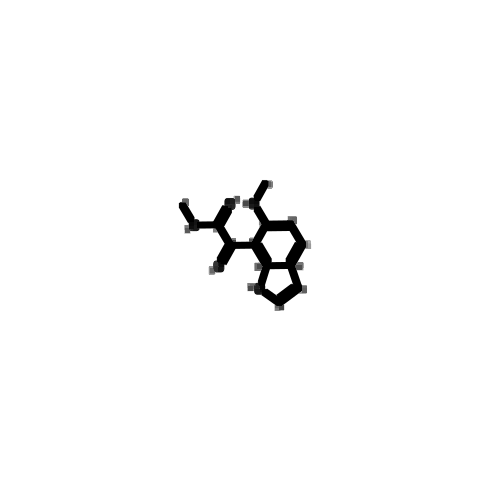 COC(=O)C(=O)c1c(OC)ccc2ccoc12